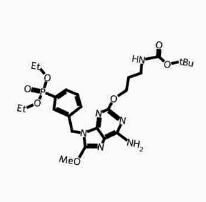 CCOP(=O)(OCC)c1cccc(Cn2c(OC)nc3c(N)nc(OCCCNC(=O)OC(C)(C)C)nc32)c1